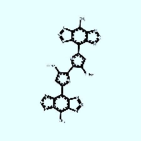 CCCCCCc1cc(-c2c3c(c(C)c4nsnc24)N=S=N3)sc1-c1sc(-c2c3c(c(C)c4nsnc24)N=S=N3)cc1CCCCCC